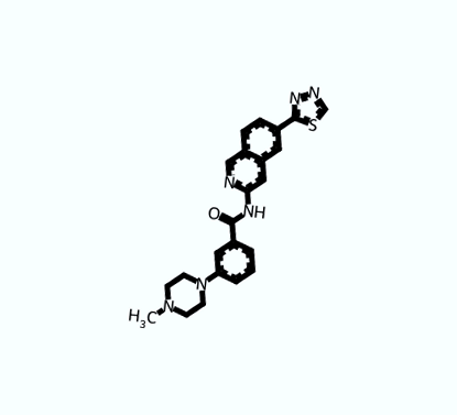 CN1CCN(c2cccc(C(=O)Nc3cc4cc(-c5nncs5)ccc4cn3)c2)CC1